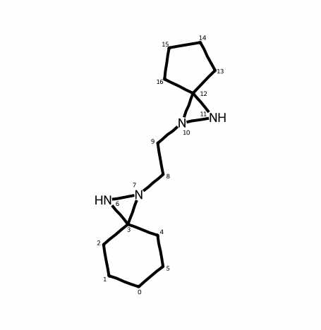 C1CCC2(CC1)NN2CCN1NC12CCCC2